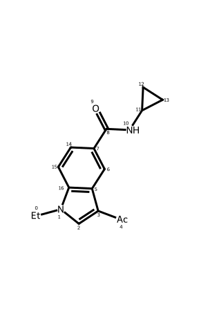 CCn1cc(C(C)=O)c2cc(C(=O)NC3CC3)ccc21